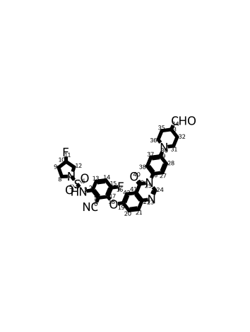 N#Cc1c(NS(=O)(=O)N2CCC(F)C2)ccc(F)c1Oc1ccc2ncn(-c3ccc(N4CCC(C=O)CC4)cc3)c(=O)c2c1